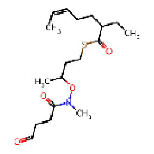 C/C=C\CCC(CC)C(=O)SCCC(C)ON(C)C(=O)CCC=O